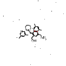 Cc1cnc([C@H]2CCC[C@@H](c3ncc(C)cc3C)N2Cc2ccc(CN)cc2CO)c(C)c1